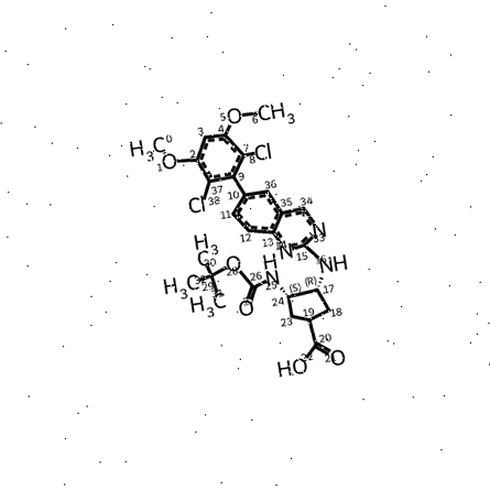 COc1cc(OC)c(Cl)c(-c2ccc3nc(N[C@@H]4CC(C(=O)O)C[C@@H]4NC(=O)OC(C)(C)C)ncc3c2)c1Cl